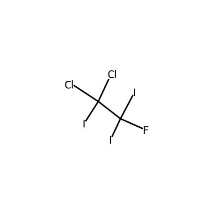 FC(I)(I)C(Cl)(Cl)I